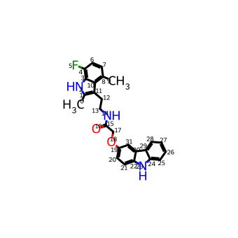 Cc1[nH]c2c(F)ccc(C)c2c1CCNC(=O)COc1ccc2[nH]c3ccccc3c2c1